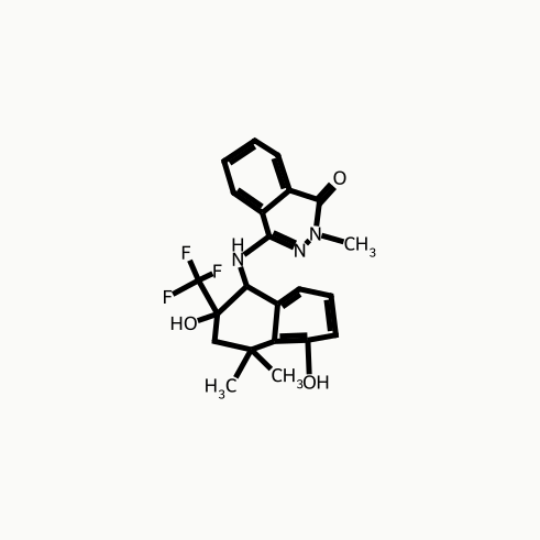 Cn1nc(NC2c3cccc(O)c3C(C)(C)CC2(O)C(F)(F)F)c2ccccc2c1=O